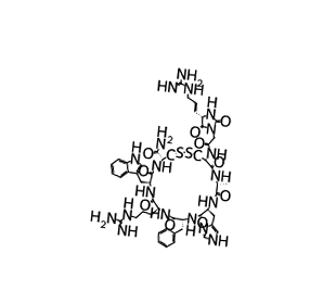 C[C@H]1NC(=O)[C@@H](NC(=O)CN2C(=O)N[C@@H](/C=C/CNC(=N)N)C2=O)CSSC[C@@H](C(N)=O)NC(=O)[C@H](Cc2c[nH]c3ccccc23)NC(=O)[C@H](CCCNC(=N)N)NC(=O)[C@@H](Cc2ccccc2)NC(=O)[C@H](Cc2c[nH]cn2)NC1=O